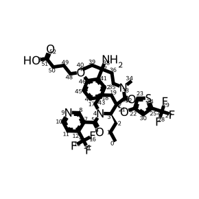 CCC[C@H]1N(C(=O)c2cnccc2C(F)(F)F)CCC[C@@]1(Oc1csc(C(F)(F)F)c1)C(=O)N(C)CCC(N)(CC)c1ccccc1OCCCC(=O)O